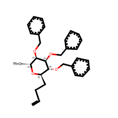 C=CCC[C@H]1O[C@H](OC)[C@@H](OCc2ccccc2)[C@@H](OCc2ccccc2)[C@@H]1OCc1ccccc1